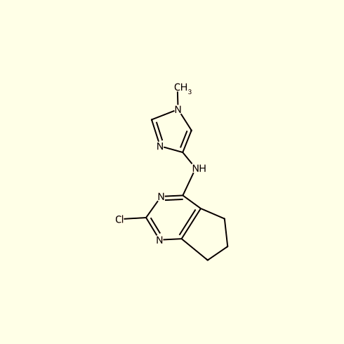 Cn1cnc(Nc2nc(Cl)nc3c2CCC3)c1